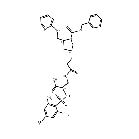 Cc1cc(C)c(S(=O)(=O)N[C@H](CNC(=O)CO[C@@H]2C[C@@H](CNc3ccccn3)N(C(=O)OCc3ccccc3)C2)C(=O)O)c(C)c1